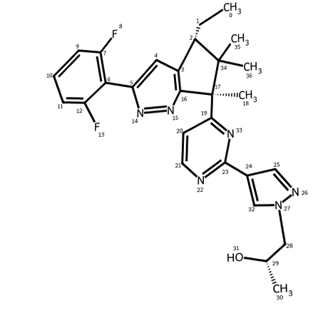 CC[C@H]1c2cc(-c3c(F)cccc3F)nnc2[C@](C)(c2ccnc(-c3cnn(C[C@H](C)O)c3)n2)C1(C)C